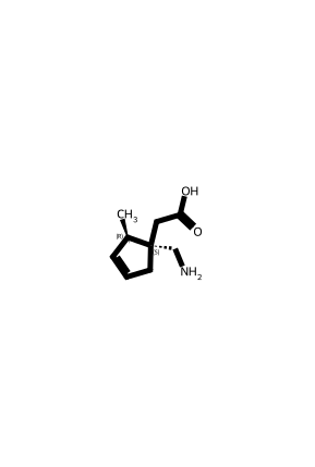 C[C@@H]1C=CC[C@]1(CN)CC(=O)O